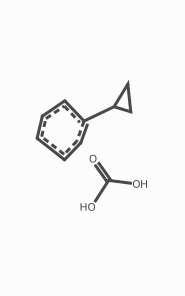 O=C(O)O.c1ccc(C2CC2)cc1